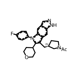 CC(=O)N1CC[C@H](Cc2c(C3CCOCC3)n(-c3ccc(F)cc3)c3cc4cn[nH]c4cc23)C1